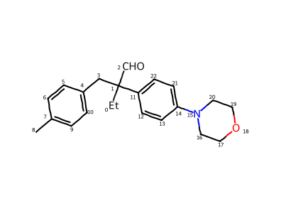 CCC(C=O)(Cc1ccc(C)cc1)c1ccc(N2CCOCC2)cc1